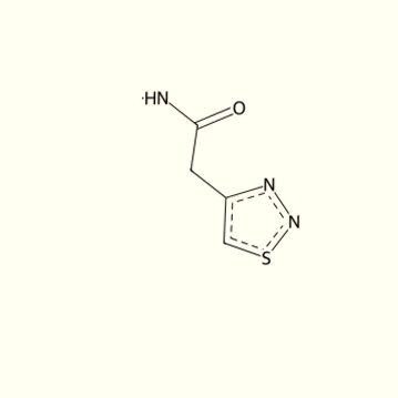 [NH]C(=O)Cc1csnn1